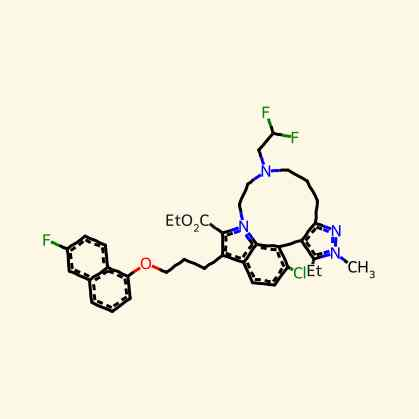 CCOC(=O)c1c(CCCOc2cccc3cc(F)ccc23)c2ccc(Cl)c3c2n1CCN(CC(F)F)CCCc1nn(C)c(CC)c1-3